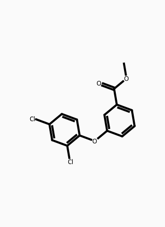 COC(=O)c1cccc(Oc2ccc(Cl)cc2Cl)c1